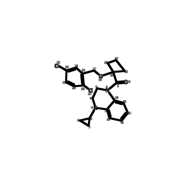 O=C(N1CCN(C2CC2)c2ccccc21)C1(OCc2cc(Cl)ccc2Cl)CCC1